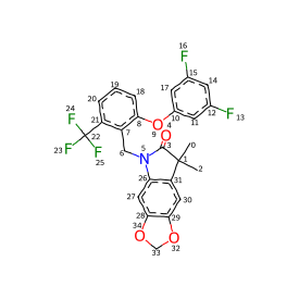 CC1(C)C(=O)N(Cc2c(Oc3cc(F)cc(F)c3)cccc2C(F)(F)F)c2cc3c(cc21)OCO3